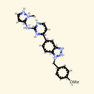 COc1ccc(Cn2nnc3cc(-c4ccnc(Nc5ccnn5C)n4)ccc32)cc1